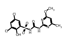 COc1cc(C)nc(NC(=O)NS(=O)(=O)c2cc(Cl)cc(Cl)c2O)n1